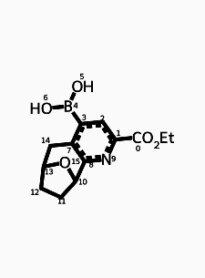 CCOC(=O)c1cc(B(O)O)c2c(n1)C1CCC(C2)O1